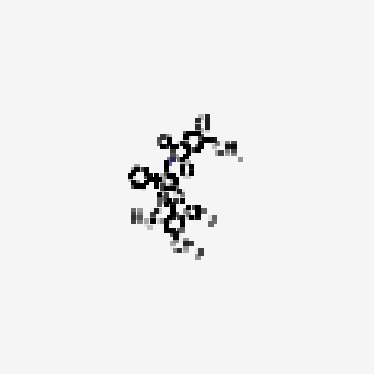 CCc1cc2c(cc1Cl)C(=O)/C(=C/c1cc3oc(-c4c(C)cc(C)cc4C)nc3n1-c1ccccc1)C2=O